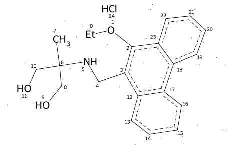 CCOc1c(CNC(C)(CO)CO)c2ccccc2c2ccccc12.Cl